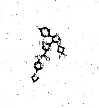 O=C(Nc1ccc(N2CCC2)cn1)c1c[nH]c(-c2c(-c3ccc(F)cc3)ncn2C2CC(F)(F)C2)n1